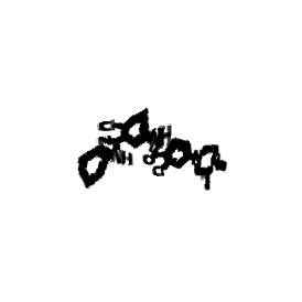 C[C@H]1CN(c2ccc(C(=O)Nc3ccc(Cl)c(-c4nc5ccccc5[nH]4)c3)c(Cl)c2)CCN1C